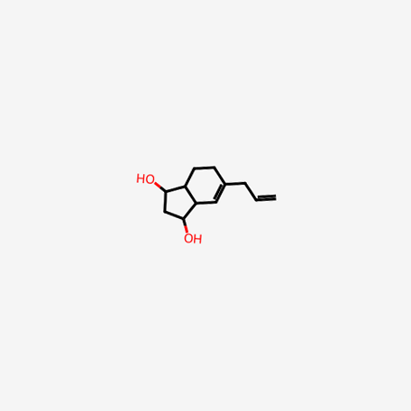 C=CCC1=CC2C(O)CC(O)C2CC1